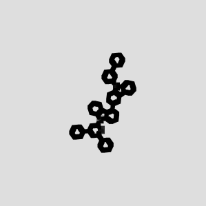 C1=CC(c2cccc(-n3c4c(c5ccccc53)C=C(c3cccc5c3c3c(n5-c5cc(-c6ccccc6)cc(-c6ccccc6)n5)CCC=C3)CC4)c2)=CCC1